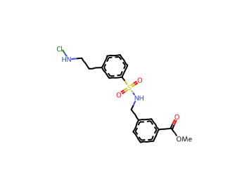 COC(=O)c1cccc(CNS(=O)(=O)c2cccc(CCNCl)c2)c1